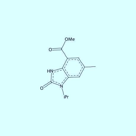 COC(=O)c1cc(C)cc2c1[nH]c(=O)n2C(C)C